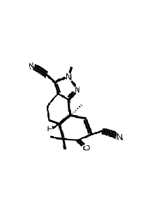 Cn1nc2c(c1C#N)CC[C@H]1C(C)(C)C(=O)C(C#N)=C[C@]21C